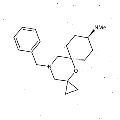 CN[C@H]1CC[C@@]2(CC1)CN(Cc1ccccc1)CC1(CC1)O2